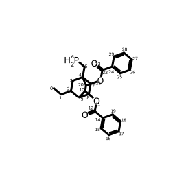 CCC1CC2(CP)CCC1C(OC(=O)c1ccccc1)C2OC(=O)c1ccccc1